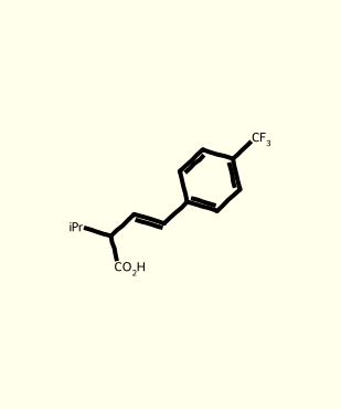 CC(C)C(C=Cc1ccc(C(F)(F)F)cc1)C(=O)O